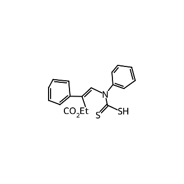 CCOC(=O)C(=CN(C(=S)S)c1ccccc1)c1ccccc1